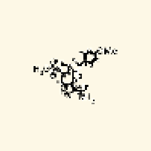 COc1ccc(CS[C@@H]2C[C@@H](Cn3nnc(C(N)=O)c3N)N(S(C)(=O)=O)C2)cc1